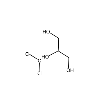 ClOCl.OCC(O)CO